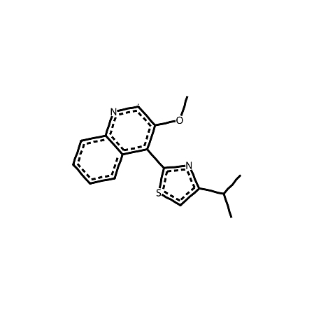 COc1[c]nc2ccccc2c1-c1nc(C(C)C)cs1